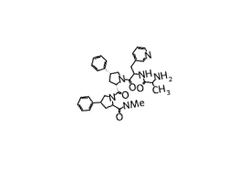 CNC(=O)C1CC(c2ccccc2)CN1C(=O)[C@@H]1C[C@H](c2ccccc2)CN1C(=O)C(Cc1cccnc1)NC(=O)C(C)N